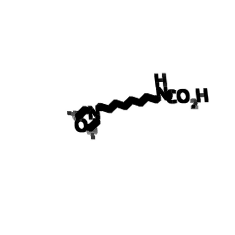 C[C@@H]1CN(CCCCCCCCNC(=O)O)C[C@H](C)O1